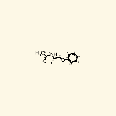 CC(C)NCCOc1cc[c]cc1